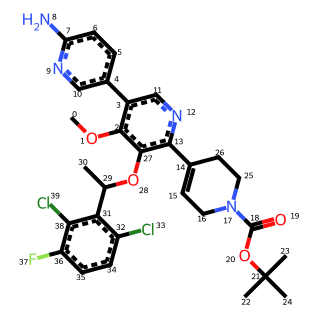 COc1c(-c2ccc(N)nc2)cnc(C2=CCN(C(=O)OC(C)(C)C)CC2)c1OC(C)c1c(Cl)ccc(F)c1Cl